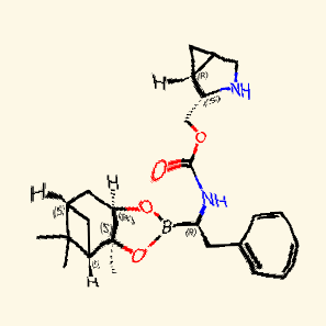 CC1(C)[C@@H]2C[C@H]3OB([C@H](Cc4ccccc4)NC(=O)OC[C@H]4NCC5C[C@H]54)O[C@@]3(C)[C@H]1C2